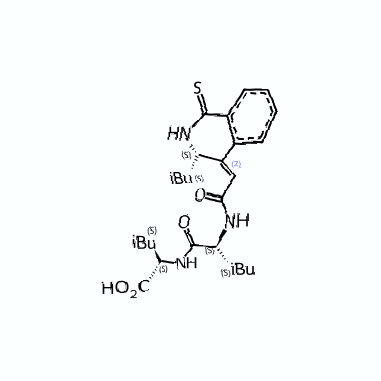 CC[C@H](C)[C@H](NC(=O)[C@@H](NC(=O)/C=C1/c2ccccc2C(=S)N[C@H]1[C@@H](C)CC)[C@@H](C)CC)C(=O)O